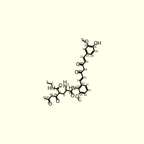 CCNC(=O)C(CC(N)C(=O)Nc1c(C=CC(=O)CC(=O)C=Cc2ccc(O)c(OC)c2)cccc1OC)C(=O)CC(C)=O